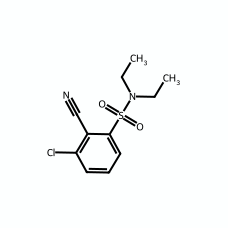 CCN(CC)S(=O)(=O)c1cccc(Cl)c1C#N